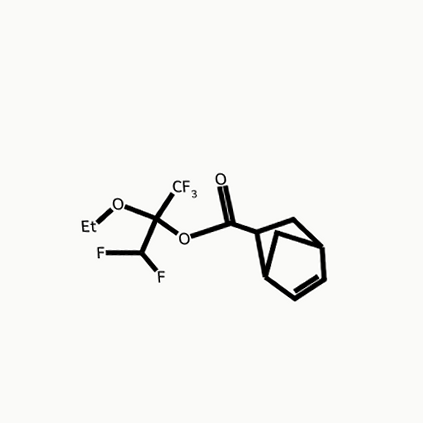 CCOC(OC(=O)C1CC2C=CC1C2)(C(F)F)C(F)(F)F